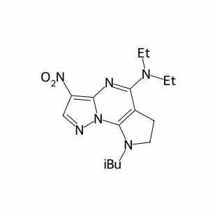 CCC(C)N1CCc2c(N(CC)CC)nc3c([N+](=O)[O-])cnn3c21